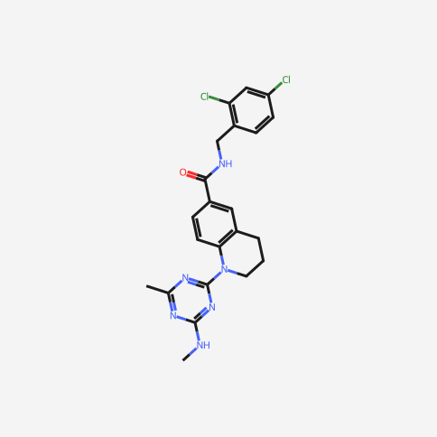 CNc1nc(C)nc(N2CCCc3cc(C(=O)NCc4ccc(Cl)cc4Cl)ccc32)n1